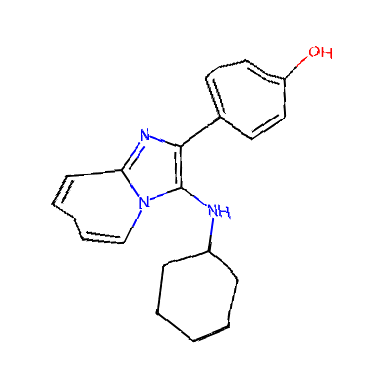 Oc1ccc(-c2nc3ccccn3c2NC2CCCCC2)cc1